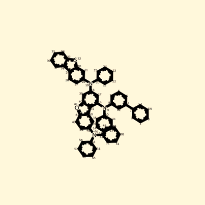 c1ccc(-c2cccc(N(c3ccccc3)c3cc(N(c4ccccc4)c4ccc5c(c4)sc4ccccc45)cc4oc5ccc(N(c6ccccc6)c6ccccc6)cc5c34)c2)cc1